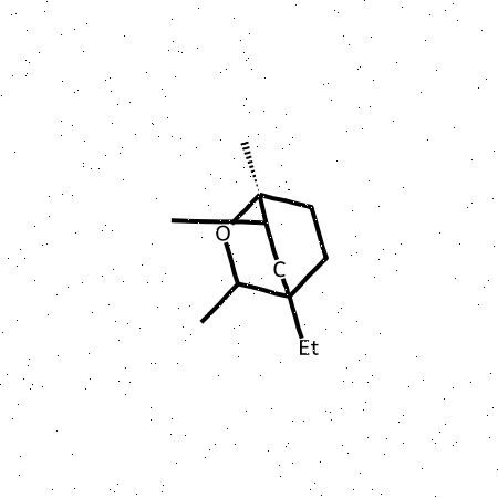 CCC12CC[C@](C)(OC1C)C(C)C2